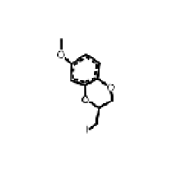 COc1ccc2c(c1)OC(CI)CO2